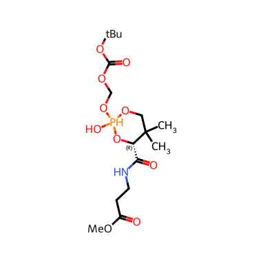 COC(=O)CCNC(=O)[C@@H]1O[PH](O)(OCOC(=O)OC(C)(C)C)OCC1(C)C